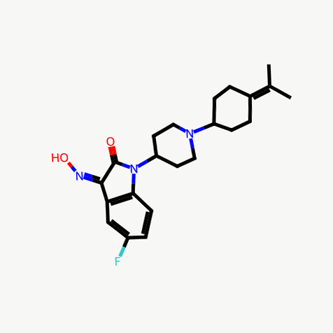 CC(C)=C1CCC(N2CCC(N3C(=O)C(=NO)c4cc(F)ccc43)CC2)CC1